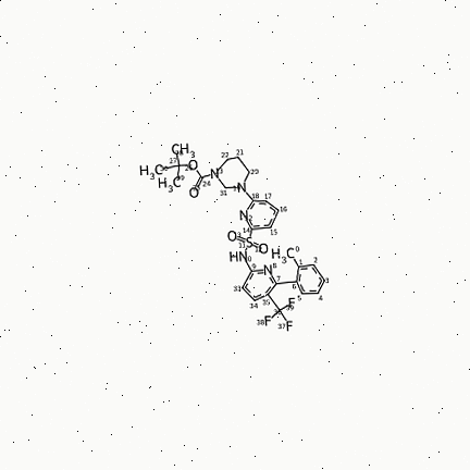 Cc1ccccc1-c1nc(NS(=O)(=O)c2cccc(N3CCCN(C(=O)OC(C)(C)C)C3)n2)ccc1C(F)(F)F